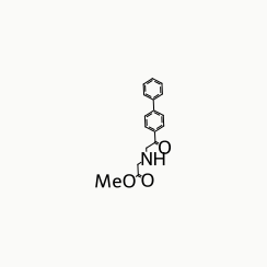 COC(=O)CNCC(=O)c1ccc(-c2ccccc2)cc1